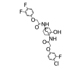 O=C(COc1ccc(F)c(F)c1)NC12CCC(NC(=O)COc3ccc(Cl)c(F)c3)(CC1)C(O)C2